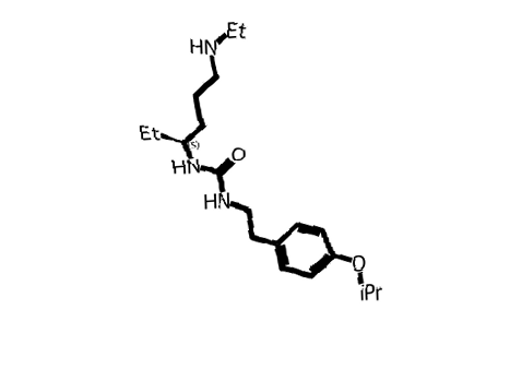 CCNCCC[C@H](CC)NC(=O)NCCc1ccc(OC(C)C)cc1